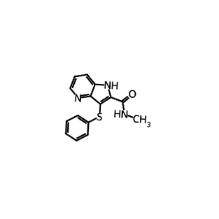 CNC(=O)c1[nH]c2cccnc2c1Sc1ccccc1